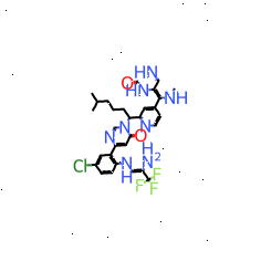 CN/C(=C(\C=N)NC=O)c1ccnc(C(CCCC(C)C)n2cnc(-c3cc(Cl)ccc3N/C=C(\N)C(F)(F)F)cc2=O)c1